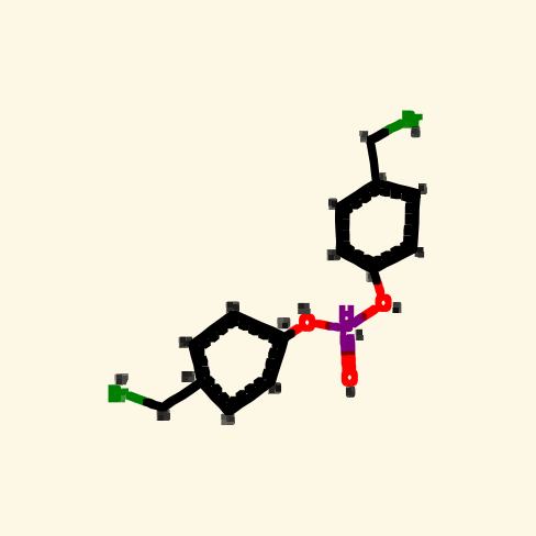 O=[PH](Oc1ccc(CBr)cc1)Oc1ccc(CBr)cc1